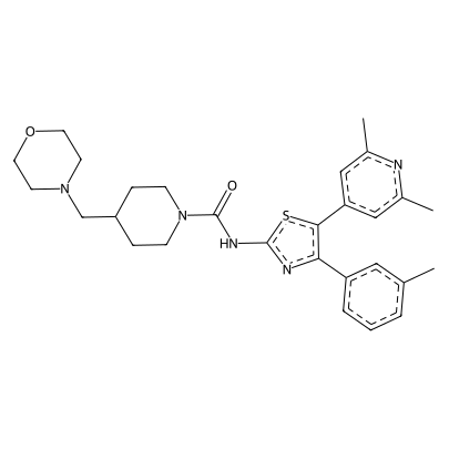 Cc1cccc(-c2nc(NC(=O)N3CCC(CN4CCOCC4)CC3)sc2-c2cc(C)nc(C)c2)c1